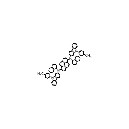 Cc1ccc(-n2c3ccccc3c3ccc(N(c4cccc5c4CCCC5)c4ccc5ccc6c(N(c7ccc8c9ccccc9n(-c9ccc(C)cc9)c8c7)c7cccc8c7CCCC8)ccc7ccc4c5c76)cc32)cc1